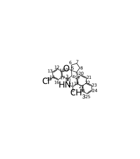 CC(N[C@@H]1CC2(CCCC2)Oc2ccc(Cl)cc21)c1cccc2ccccc12